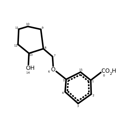 O=C(O)c1cccc(OCC2CCCCC2O)c1